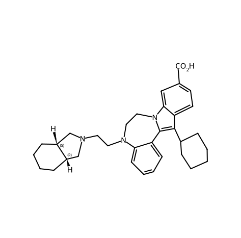 O=C(O)c1ccc2c(C3CCCCC3)c3n(c2c1)CCN(CCN1C[C@H]2CCCC[C@H]2C1)c1ccccc1-3